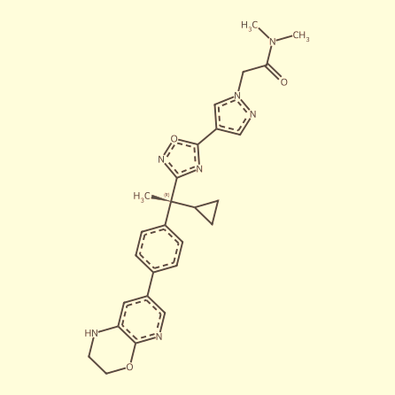 CN(C)C(=O)Cn1cc(-c2nc([C@@](C)(c3ccc(-c4cnc5c(c4)NCCO5)cc3)C3CC3)no2)cn1